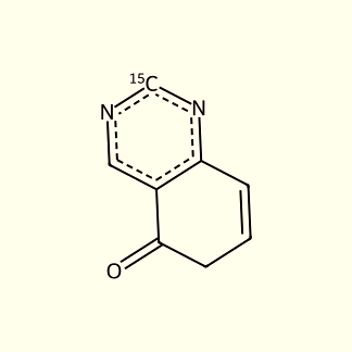 O=C1CC=Cc2n[15cH]ncc21